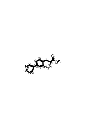 COC(=O)[C@@H](N)Cc1ccc(-c2cncnc2)cc1